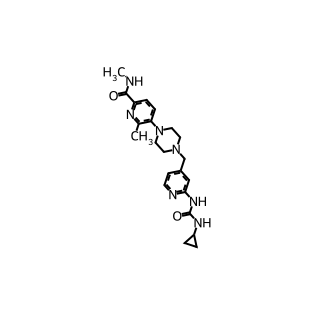 CNC(=O)c1ccc(N2CCN(Cc3ccnc(NC(=O)NC4CC4)c3)CC2)c(C)n1